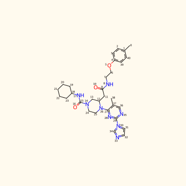 Cc1ccc(OCCNC(=O)CC2CN(C(=O)NC3CCCCC3)CCN2c2nc(-n3ccnc3)ncc2C)cc1